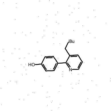 C[CH]C(C)Cc1cccnc1-c1ccc(O)cc1